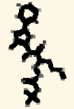 CSCCC(N=NC(=O)OC(C)(C)C)C(=O)N(C)c1sc(-c2cccnc2)nc1C